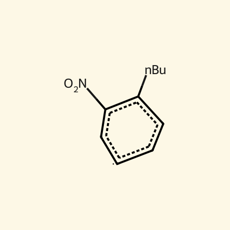 CCCCc1cc[c]cc1[N+](=O)[O-]